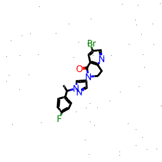 CC(c1ccc(F)cc1)n1cc(N2CCc3ncc(Br)cc3C2=O)cn1